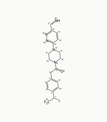 CC(c1ccc(CC(=O)N2CCN(c3ccc(C=N)nn3)CC2)cc1)C(F)(F)F